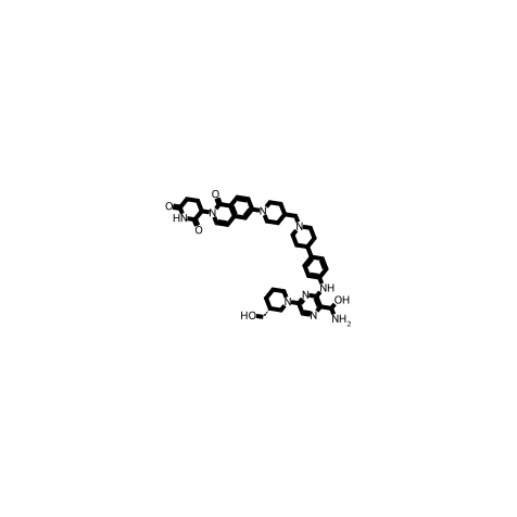 NC(O)c1ncc(N2CCC[C@@H](CO)C2)nc1Nc1ccc(C2CCN(CC3CCN(c4ccc5c(=O)n(C6CCC(=O)NC6=O)ccc5c4)CC3)CC2)cc1